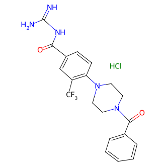 Cl.N=C(N)NC(=O)c1ccc(N2CCN(C(=O)c3ccccc3)CC2)c(C(F)(F)F)c1